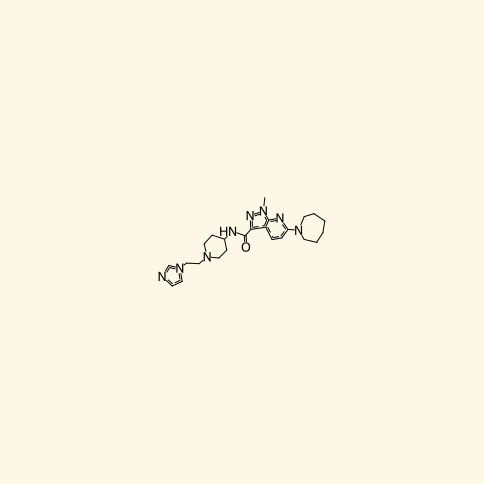 Cn1nc(C(=O)NC2CCN(CCn3ccnc3)CC2)c2ccc(N3CCCCCC3)nc21